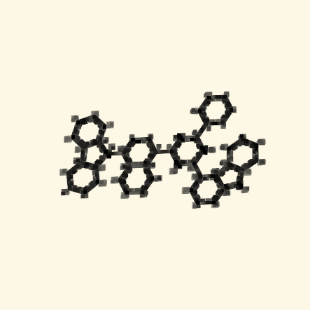 c1ccc(-c2nc(-c3ccc(-n4c5ccccc5c5ccccc54)c4ccccc34)nc(-c3cccc4sc5ccccc5c34)n2)cc1